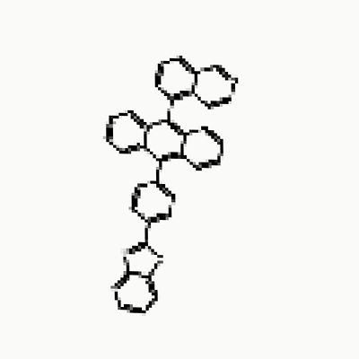 c1cc(-c2c3ccccc3c(-c3ccc(-c4nc5ccccc5o4)cc3)c3ccccc23)c2ccncc2c1